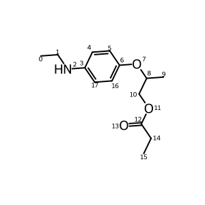 CCNc1ccc(OC(C)COC(=O)CC)cc1